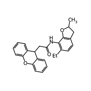 CCc1ccc2c(c1NC(=O)CC1c3ccccc3Oc3ccccc31)OC(C)C2